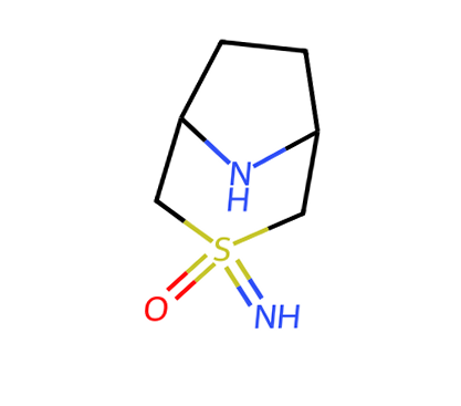 N=S1(=O)CC2CCC(C1)N2